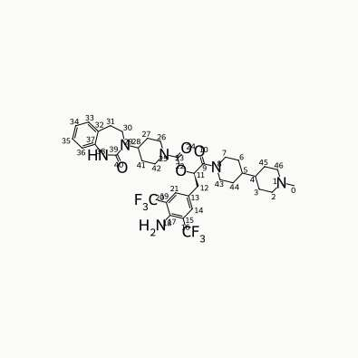 CN1CCC(C2CCN(C(=O)[C@@H](Cc3cc(C(F)(F)F)c(N)c(C(F)(F)F)c3)OC(=O)N3CCC(N4CCc5ccccc5NC4=O)CC3)CC2)CC1